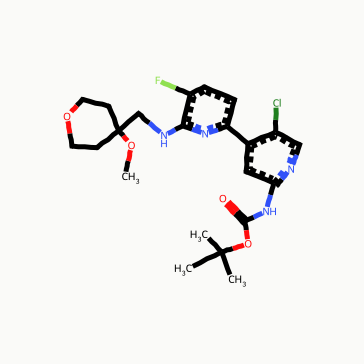 COC1(CNc2nc(-c3cc(NC(=O)OC(C)(C)C)ncc3Cl)ccc2F)CCOCC1